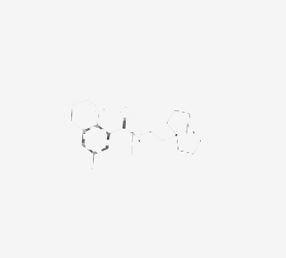 Cc1cc2c(c(C(=O)NCCC34CCCN3CCC4)c1)OCCC2